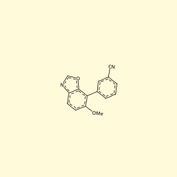 COc1ccc2ncoc2c1-c1cccc(C#N)c1